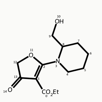 CCOC(=O)C1=C(N2CCCCC2CO)OCC1=O